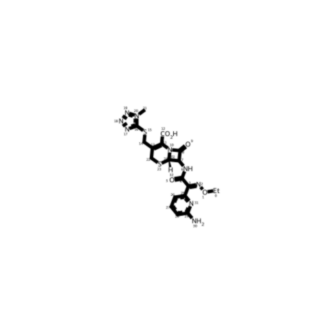 CCON=C(C(=O)NC1C(=O)N2C(C(=O)O)=C(CSc3nnnn3C)CS[C@@H]12)c1cccc(N)n1